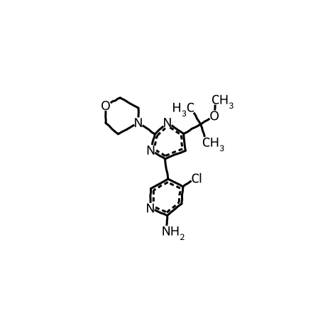 COC(C)(C)c1cc(-c2cnc(N)cc2Cl)nc(N2CCOCC2)n1